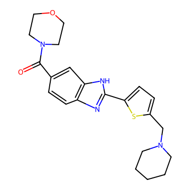 O=C(c1ccc2nc(-c3ccc(CN4CCCCC4)s3)[nH]c2c1)N1CCOCC1